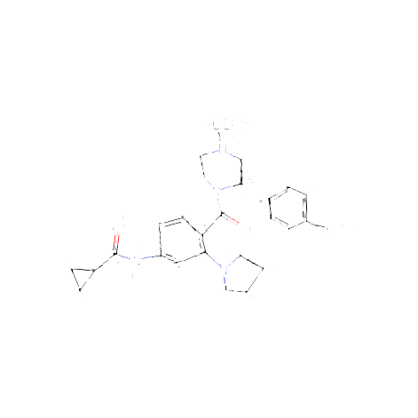 Cc1ccc([C@H]2CN(C(=O)O)CCN2C(=O)c2ccc(NC(=O)C3CC3)cc2N2CCCC2)cc1